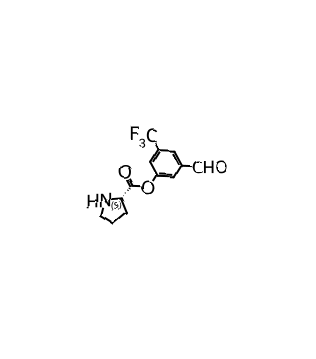 O=Cc1cc(OC(=O)[C@@H]2CCCN2)cc(C(F)(F)F)c1